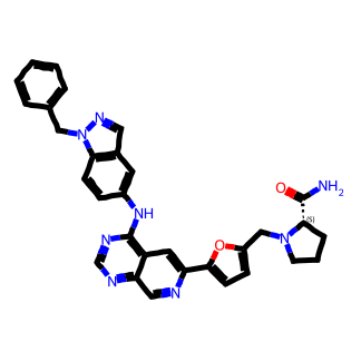 NC(=O)[C@@H]1CCCN1Cc1ccc(-c2cc3c(Nc4ccc5c(cnn5Cc5ccccc5)c4)ncnc3cn2)o1